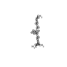 C=CC(=O)OCOc1ccc(OC(=O)C2CCC(C(=O)OCCc3c4c(c(OC(=O)C5CCC(C(=O)Oc6ccc(OCC(COC(=O)C=C)OC(=O)C=C)cc6)CC5)c5ccccc35)SC(=C3C(=O)c5ccccc5C3=O)S4)CC2)cc1